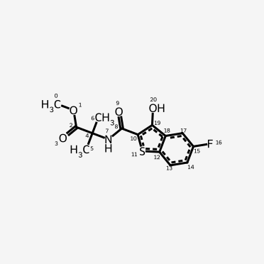 COC(=O)C(C)(C)NC(=O)c1sc2ccc(F)cc2c1O